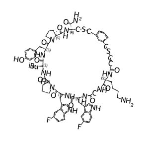 CC[C@H](C)[C@@H]1NC(=O)[C@@H]2CCCN2C(=O)[C@H](Cc2c[nH]c3ccc(F)cc23)NC(=O)[C@H](Cc2c[nH]c3ccc(F)cc23)NC(=O)CNC(=O)[C@H](CCCCN)NC(=O)CCSCc2cccc(c2)CSC[C@@H](C(N)=O)NC(=O)[C@]2(C)CCCN2C(=O)[C@H](Cc2ccc(O)cc2)NC1=O